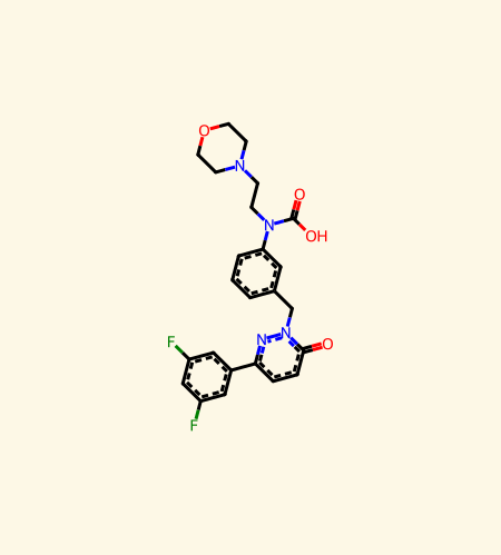 O=C(O)N(CCN1CCOCC1)c1cccc(Cn2nc(-c3cc(F)cc(F)c3)ccc2=O)c1